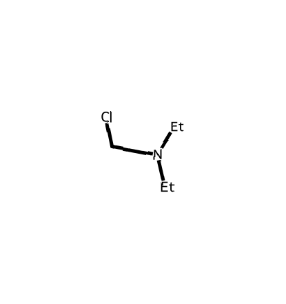 CCN(CC)CCl